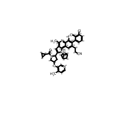 Cc1ccncc1OC1CC(c2cc3c(C)nc4c(F)c(-c5cccc(Cl)c5Cl)c(CCC#N)cc4c3n2C2C3CNC2C3)N(C(=O)C2CC2)C1